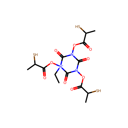 CC[N+]1(OC(=O)C(C)S)C(=O)N(OC(=O)C(C)S)C(=O)N(OC(=O)C(C)S)C1=O